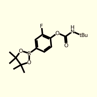 CC(C)(C)NC(=O)Oc1ccc(B2OC(C)(C)C(C)(C)O2)cc1F